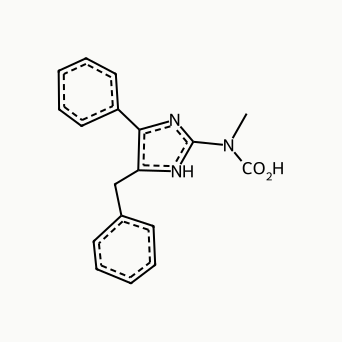 CN(C(=O)O)c1nc(-c2ccccc2)c(Cc2ccccc2)[nH]1